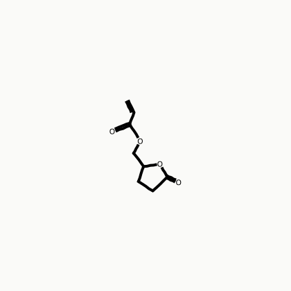 C=CC(=O)OCC1CCC(=O)O1